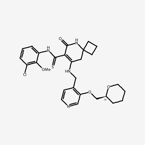 COc1c(Cl)cccc1NC(=S)C1=C(NCc2ccncc2OC[C@@H]2CCCCO2)CC2(CCC2)NC1=O